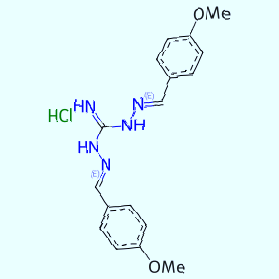 COc1ccc(/C=N/NC(=N)N/N=C/c2ccc(OC)cc2)cc1.Cl